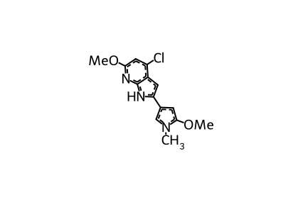 COc1cc(Cl)c2cc(-c3cc(OC)n(C)c3)[nH]c2n1